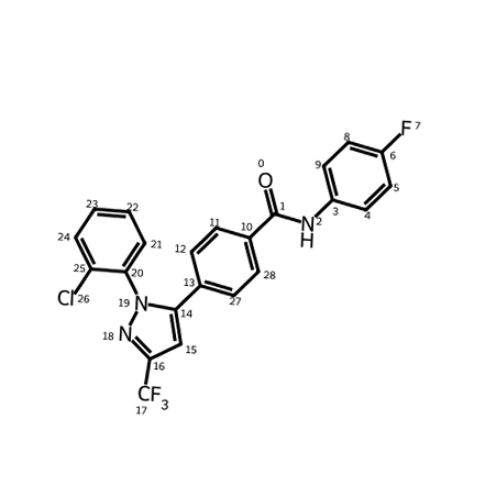 O=C(Nc1ccc(F)cc1)c1ccc(-c2cc(C(F)(F)F)nn2-c2ccccc2Cl)cc1